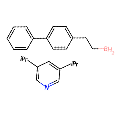 BCCc1ccc(-c2ccccc2)cc1.CC(C)c1cncc(C(C)C)c1